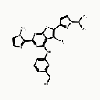 Cc1c(-c2ccn(C(C)C)n2)sc2nc(-c3nccn3C)nc(Nc3cccc(CO)n3)c12